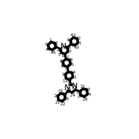 c1ccc(-c2cc(-c3ccc(-c4ccc(-c5nc(-c6ccccc6)cc(-c6ccccc6)n5)cc4)cc3)cc(-c3ccccc3)n2)cc1